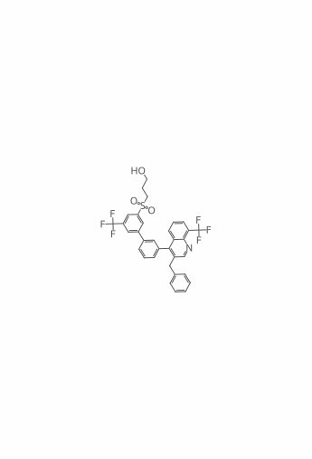 O=S(=O)(CCCO)c1cc(-c2cccc(-c3c(Cc4ccccc4)cnc4c(C(F)(F)F)cccc34)c2)cc(C(F)(F)F)c1